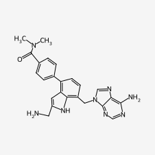 CN(C)C(=O)c1ccc(-c2ccc(Cn3cnc4c(N)ncnc43)c3[nH]c(CN)cc23)cc1